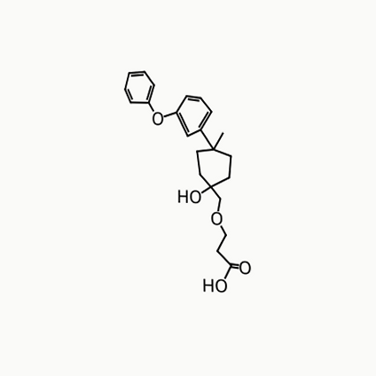 CC1(c2cccc(Oc3ccccc3)c2)CCC(O)(COCCC(=O)O)CC1